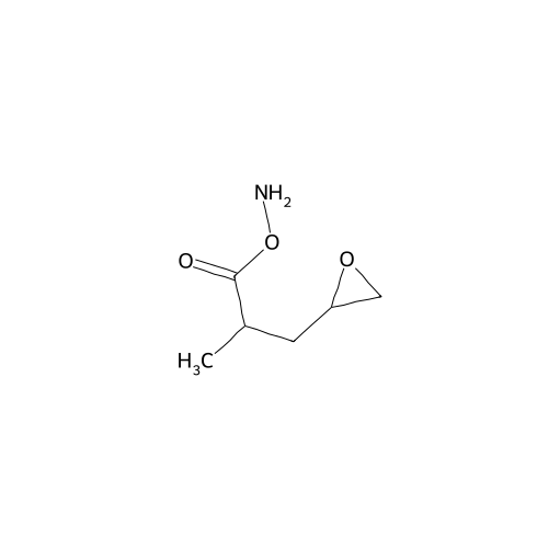 CC(CC1CO1)C(=O)ON